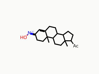 CC(=O)C1CCC2C3CCC4=C/C(=N/O)CCC4(C)C3CCC12C